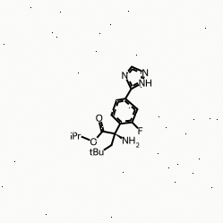 CC(C)OC(=O)[C@@](N)(CC(C)(C)C)c1ccc(-c2ncn[nH]2)cc1F